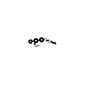 CCCCOCCOc1ccc(-c2ccc(C3CCCC3)c(CO)c2)cc1